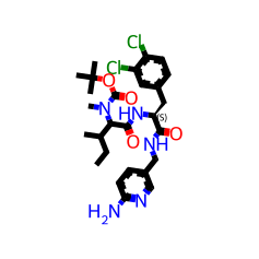 CCC(C)C(C(=O)N[C@@H](Cc1ccc(Cl)c(Cl)c1)C(=O)NCc1ccc(N)nc1)N(C)C(=O)OC(C)(C)C